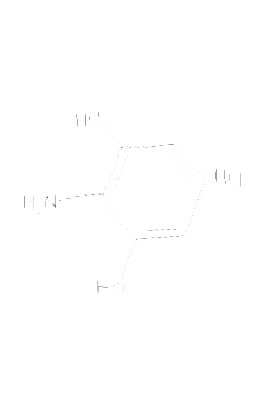 Cl.Nc1c(O)cccc1O